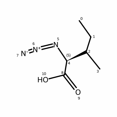 CCC(C)[C@H](N=[N+]=[N-])C(=O)O